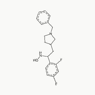 ONC(CC1CCN(Cc2ccccc2)C1)c1ccc(F)cc1F